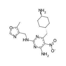 Cc1ocnc1CNc1nc(N)c([N+](=O)[O-])c(C[C@H]2CC[C@H](N)CC2)n1